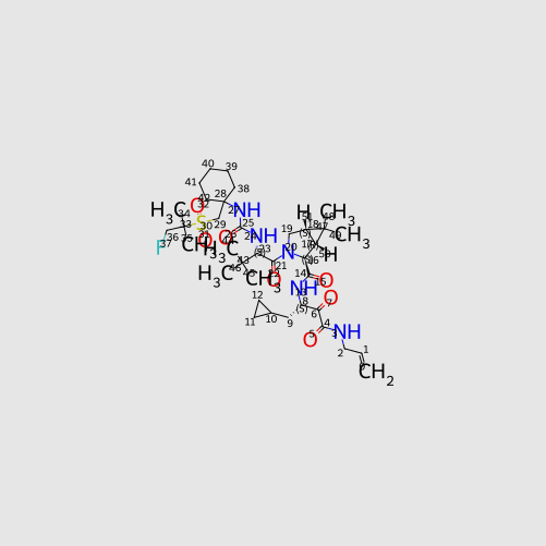 C=CCNC(=O)C(=O)[C@H](CC1CC1)NC(=O)[C@@H]1[C@@H]2[C@H](CN1C(=O)[C@@H](NC(=O)NC1(CS(=O)(=O)C(C)(C)CF)CCCCC1)C(C)(C)C)C2(C)C